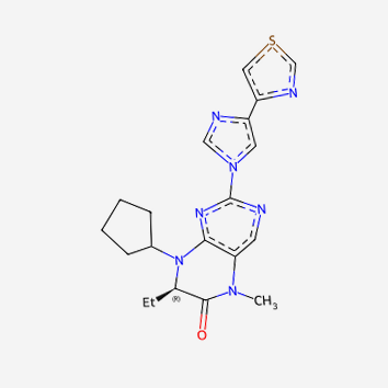 CC[C@@H]1C(=O)N(C)c2cnc(-n3cnc(-c4cscn4)c3)nc2N1C1CCCC1